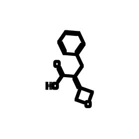 O=C(O)C(Cc1ccccc1)=C1COC1